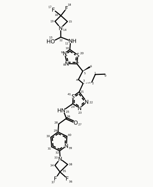 CCC[C@@H](C[C@H](C)c1nnc(NC(O)N2CC(F)(F)C2)s1)c1nnc(NC(=O)Cc2ccc(N3CC(F)(F)C3)nc2)s1